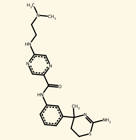 CN(C)CCNc1cnc(C(=O)Nc2cccc(C3(C)CCSC(N)=N3)c2)cn1